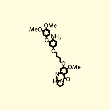 COc1ccc(Oc2cc(OCCCCOc3cc4c(cc3OC)C(=O)N3CCC[C@H]3C=N4)ccc2N)cc1OC